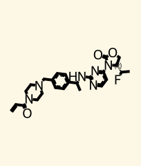 C=CC(=O)N1CCN(Cc2ccc(C(C)Nc3nccc(N4C(=O)OC[C@@H]4C(C)F)n3)cc2)CC1